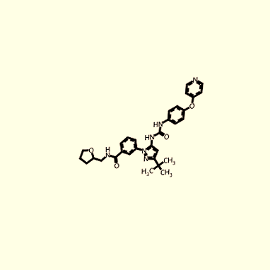 CC(C)(C)c1cc(NC(=O)Nc2ccc(Oc3ccncc3)cc2)n(-c2cccc(C(=O)NCC3CCCO3)c2)n1